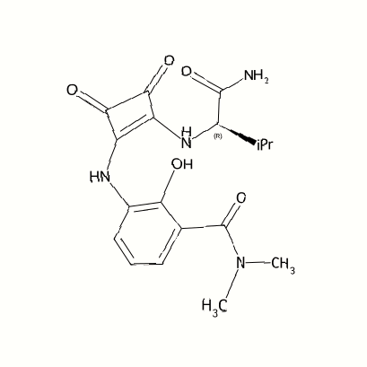 CC(C)[C@@H](Nc1c(Nc2cccc(C(=O)N(C)C)c2O)c(=O)c1=O)C(N)=O